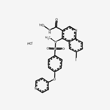 CN(c1c(C(=O)NO)cnc2ccc(I)cc12)S(=O)(=O)c1ccc(Oc2ccncc2)cc1.Cl